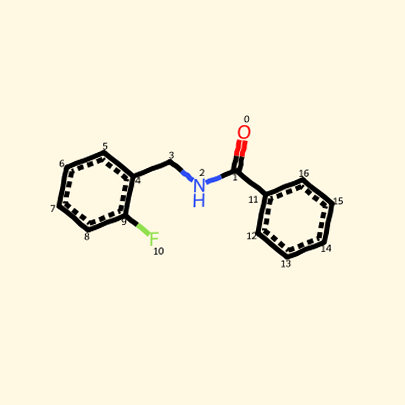 O=C(NCc1ccccc1F)c1ccccc1